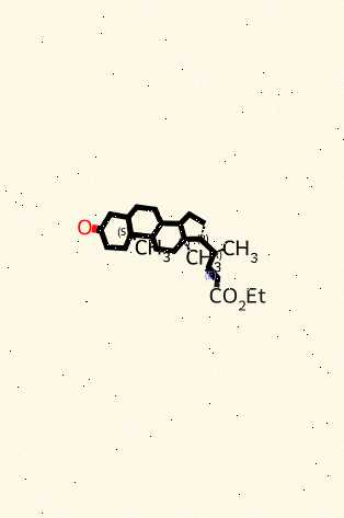 CCOC(=O)/C=C/[C@@H](C)[C@H]1CCC2C3CCC4CC(=O)CC[C@]4(C)C3CC[C@@]21C